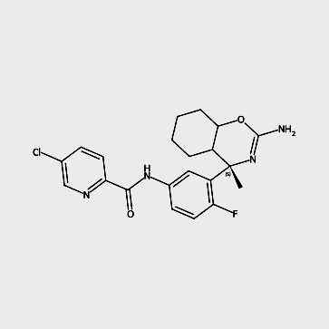 C[C@]1(c2cc(NC(=O)c3ccc(Cl)cn3)ccc2F)N=C(N)OC2CCCCC21